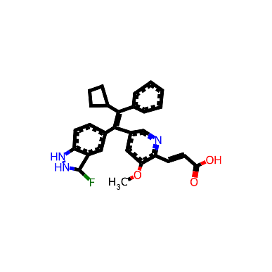 COc1cc(/C(=C(\c2ccccc2)C2CCC2)c2ccc3c(c2)C(F)NN3)cnc1/C=C/C(=O)O